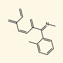 C=CC(=C)/C=C\C(=C)/C(=N/C)c1ccccc1C